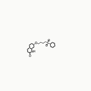 O=c1ccc2ccc(OCCCCS(=O)(=O)c3ccccc3)cc2[nH]1